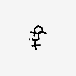 CC1=C(CC(=O)C(C)(C)C)C(C)(C)CCC1